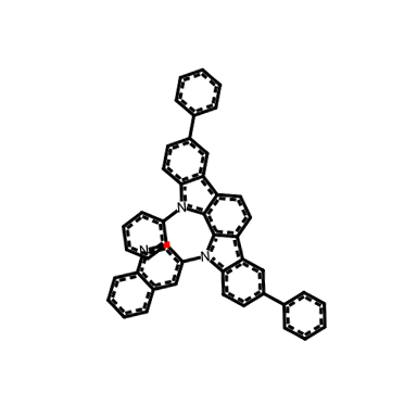 c1ccc(-c2ccc3c(c2)c2ccc4c5cc(-c6ccccc6)ccc5n(-c5cnc6ccccc6c5)c4c2n3-c2ccccc2)cc1